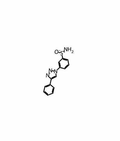 N[S+]([O-])c1cccc(-n2cc(-c3ccccc3)nn2)c1